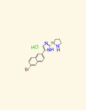 Brc1ccc2cc(-c3cnc([C@@H]4CCCN4)[nH]3)ccc2c1.Cl